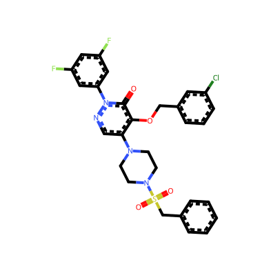 O=c1c(OCc2cccc(Cl)c2)c(N2CCN(S(=O)(=O)Cc3ccccc3)CC2)cnn1-c1cc(F)cc(F)c1